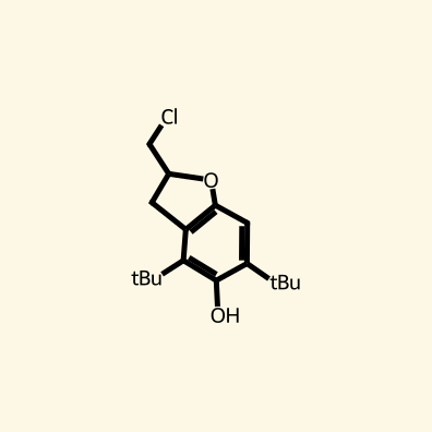 CC(C)(C)c1cc2c(c(C(C)(C)C)c1O)CC(CCl)O2